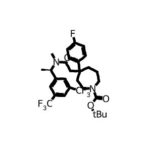 C[C@H](c1cc(C(F)(F)F)cc(C(F)(F)F)c1)N(C)C(=O)CC1(c2ccc(F)cc2)CCCN(C(=O)OC(C)(C)C)CC1